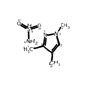 Cc1cn(C)nc1C.N[SH](=O)=O